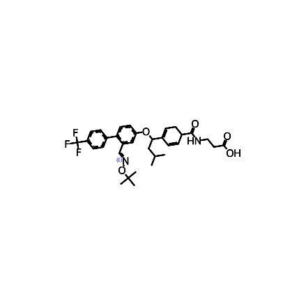 CC(C)CC(Oc1ccc(-c2ccc(C(F)(F)F)cc2)c(/C=N/OC(C)(C)C)c1)C1=CCC(C(=O)NCCC(=O)O)C=C1